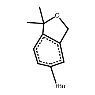 CC(C)(C)c1ccc2c(c1)COC2(C)C